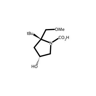 COC[C@@]1(C(C)(C)C)C[C@@H](O)CN1C(=O)O